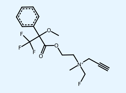 C#CC[N+](C)(CF)CCOC(=O)C(OC)(c1ccccc1)C(F)(F)F